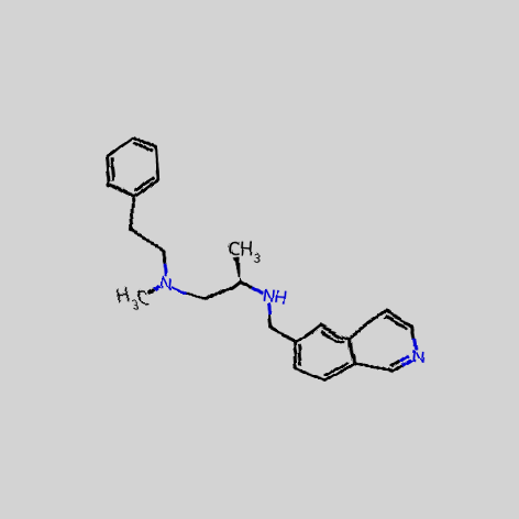 C[C@H](CN(C)CCc1ccccc1)NCc1ccc2cnccc2c1